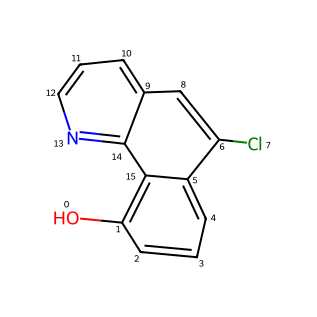 Oc1cccc2c(Cl)cc3cccnc3c12